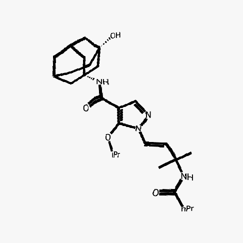 CCCC(=O)NC(C)(C)/C=C/n1ncc(C(=O)N[C@]23CC4CC(C[C@@](O)(C4)C2)C3)c1OC(C)C